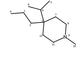 CCCC1(C(C)C)CCN(C)CC1